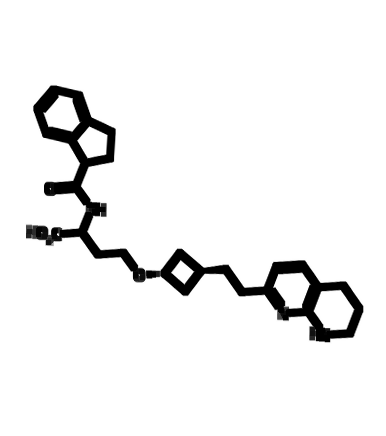 O=C(O)C(CCO[C@H]1C[C@H](CCc2ccc3c(n2)NCCC3)C1)NC(=O)C1CCc2ccccc21